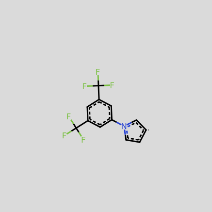 FC(F)(F)c1cc(-n2c[c]cc2)cc(C(F)(F)F)c1